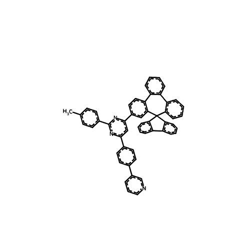 Cc1ccc(-c2nc(-c3ccc(-c4cccnc4)cc3)cc(-c3ccc4c(c3)C3(c5ccccc5-c5ccccc5-4)c4ccccc4-c4ccccc43)n2)cc1